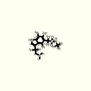 [2H]c1c(C([2H])([2H])S(=O)(=O)NC([2H])([2H])[2H])c([2H])c2c(C([2H])([2H])CN(C)C)c[nH]c2c1[2H]